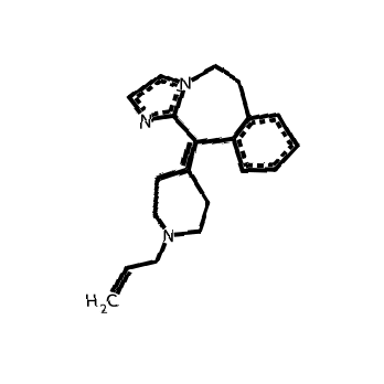 C=CCN1CCC(=C2c3ccccc3CCn3ccnc32)CC1